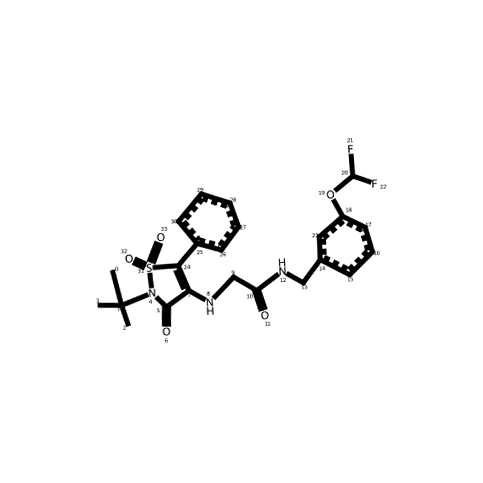 CC(C)(C)N1C(=O)C(NCC(=O)NCc2cccc(OC(F)F)c2)=C(c2ccccc2)S1(=O)=O